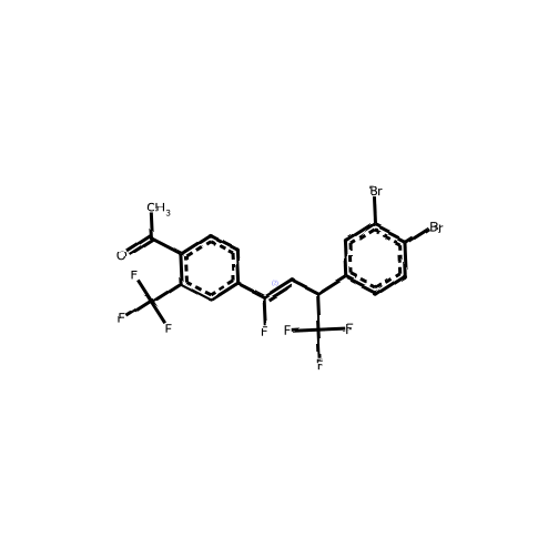 CC(=O)c1ccc(/C(F)=C/C(c2ccc(Br)c(Br)c2)C(F)(F)F)cc1C(F)(F)F